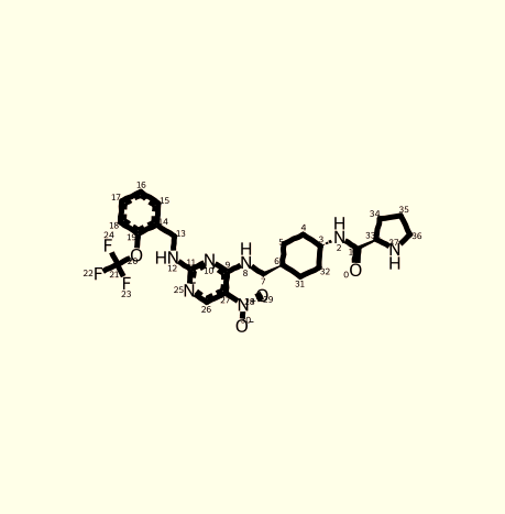 O=C(N[C@H]1CC[C@H](CNc2nc(NCc3ccccc3OC(F)(F)F)ncc2[N+](=O)[O-])CC1)[C@H]1CCCN1